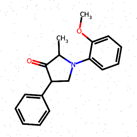 COc1ccccc1N1CC(c2ccccc2)C(=O)C1C